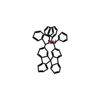 c1ccc(/N=C(\c2ccccc2)c2ccc3c(c2)C2(c4ccccc4-3)c3ccccc3-c3ccc(C(Nc4ccccc4)c4ccccc4)cc32)cc1